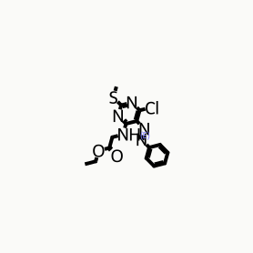 CCOC(=O)CNc1nc(SC)nc(Cl)c1/N=N/c1ccccc1